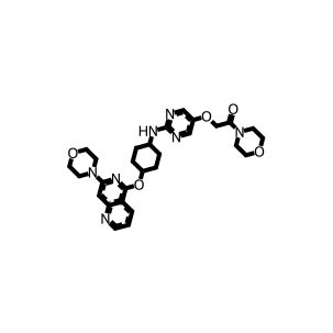 O=C(COc1cnc(NC2CCC(Oc3nc(N4CCOCC4)cc4ncccc34)CC2)nc1)N1CCOCC1